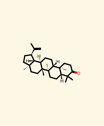 C=C(C)[C@@H]1CC[C@]2(C)CC[C@]3(C)[C@H](CC[C@@H]4[C@@]5(C)CCC(=O)C(C)(C)[C@@H]5CC[C@]43C)[C@@H]12